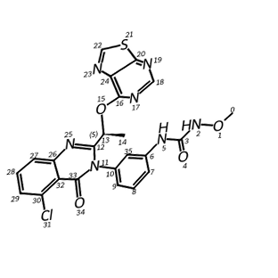 CONC(=O)Nc1cccc(-n2c([C@H](C)Oc3ncnc4scnc34)nc3cccc(Cl)c3c2=O)c1